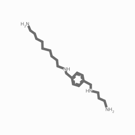 NCCCCCCCCCNCc1ccc(CNCCCN)cc1